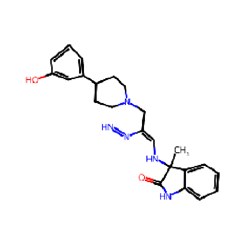 CC1(N/C=C(/CN2CCC(c3cccc(O)c3)CC2)N=N)C(=O)Nc2ccccc21